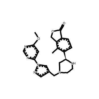 COc1cc(-n2cc(CN3CCN[C@H](c4ccc5c(c4C)COC5=O)C3)cn2)ncn1